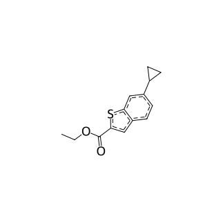 CCOC(=O)c1cc2ccc(C3CC3)cc2s1